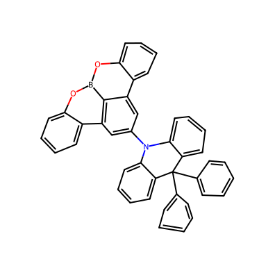 c1ccc(C2(c3ccccc3)c3ccccc3N(c3cc4c5c(c3)-c3ccccc3OB5Oc3ccccc3-4)c3ccccc32)cc1